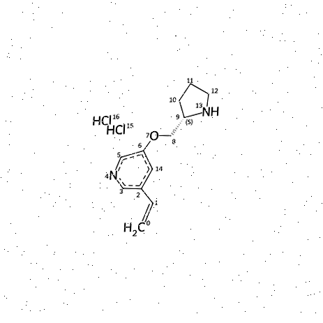 C=Cc1cncc(OC[C@@H]2CCCN2)c1.Cl.Cl